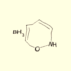 B.C1=CNOC=C1